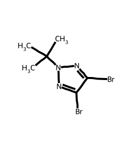 CC(C)(C)n1nc(Br)c(Br)n1